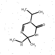 CNC1(C)N=CN(C(C)C)C(=O)N1